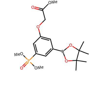 COC(=O)COc1cc(B2OC(C)(C)C(C)(C)O2)cc(P(=O)(OC)OC)c1